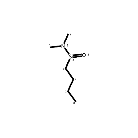 CCCC[Si](=O)N(C)C